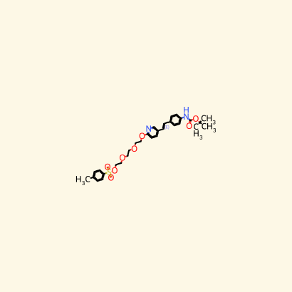 Cc1ccc(S(=O)(=O)OCCOCCOCCOc2ccc(/C=C/c3ccc(NC(=O)OC(C)(C)C)cc3)cn2)cc1